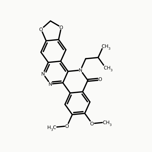 COc1cc2c(=O)n(CC(C)C)c3c4cc5c(cc4nnc3c2cc1OC)OCO5